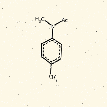 CC(=O)N(C)c1ccc(C)cc1